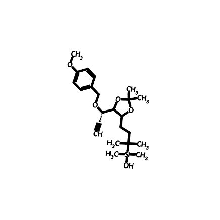 C#C[C@H](OCc1ccc(OC)cc1)C1OC(C)(C)OC1CCC(C)(C)[Si](C)(C)O